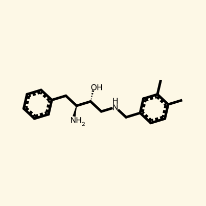 Cc1ccc(CNC[C@@H](O)[C@@H](N)Cc2ccccc2)cc1C